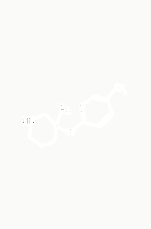 CC(=O)C1(Oc2ccc(C(F)(F)F)cc2)CCCNC1